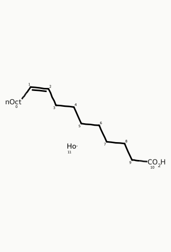 CCCCCCCC/C=C\CCCCCCCC(=O)O.[Ho]